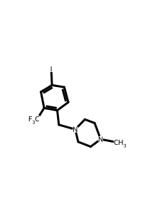 CN1CCN(Cc2ccc(I)cc2C(F)(F)F)CC1